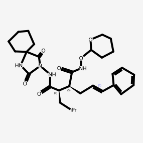 CC(C)C[C@@H](C(=O)NN1C(=O)NC2(CCCCC2)C1=O)[C@H](C/C=C/c1ccccc1)C(=O)NOC1CCCCO1